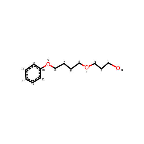 [O]CCCOCCCCOc1ccccc1